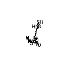 CC(=O)N(CCCCCCCCNC(=O)CCS)Cc1cc(CN=O)ccc1OC(=O)N(C)CCN(C)C